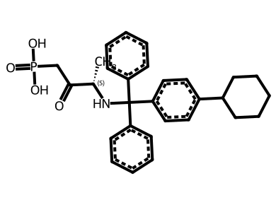 C[C@H](NC(c1ccccc1)(c1ccccc1)c1ccc(C2CCCCC2)cc1)C(=O)CP(=O)(O)O